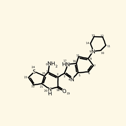 Nc1c(-c2nc3ccc(N4CCCCC4)cc3[nH]2)c(=O)[nH]c2ccsc12